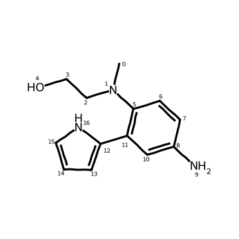 CN(CCO)c1ccc(N)cc1-c1ccc[nH]1